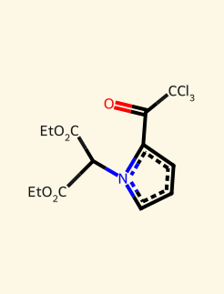 CCOC(=O)C(C(=O)OCC)n1cccc1C(=O)C(Cl)(Cl)Cl